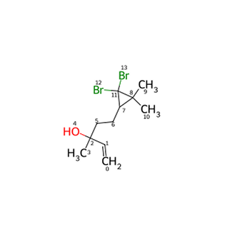 C=CC(C)(O)CCC1C(C)(C)C1(Br)Br